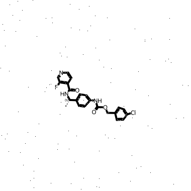 C[C@H](NC(=O)c1ccncc1F)c1ccc(NC(=O)OCc2ccc(Cl)cc2)cc1